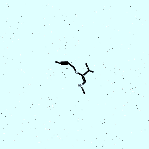 CC#CCO/C(=C\NC)C(C)C